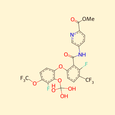 COC(=O)c1ccc(NC(=O)c2c(Oc3ccc(OC(F)(F)F)c(F)c3OC(O)(O)O)ccc(C(F)(F)F)c2F)cn1